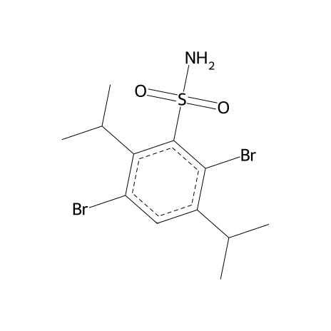 CC(C)c1cc(Br)c(C(C)C)c(S(N)(=O)=O)c1Br